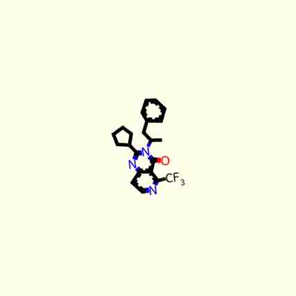 CC(Cc1ccccc1)n1c(C2CCCC2)nc2ccnc(C(F)(F)F)c2c1=O